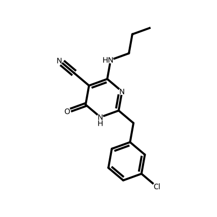 CCCNc1nc(Cc2cccc(Cl)c2)[nH]c(=O)c1C#N